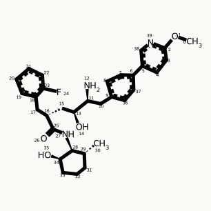 COc1ccc(-c2ccc(C[C@H](N)[C@@H](O)C[C@@H](Cc3ccccc3F)C(=O)N[C@H]3[C@H](C)CCC[C@H]3O)cc2)cn1